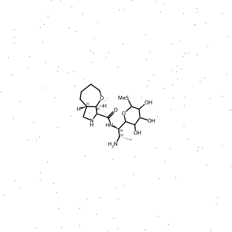 CSC1OC([C@H](NC(=O)C2NC[C@@H]3CCCCO[C@@H]23)[C@H](C)N)C(O)C(O)C1O